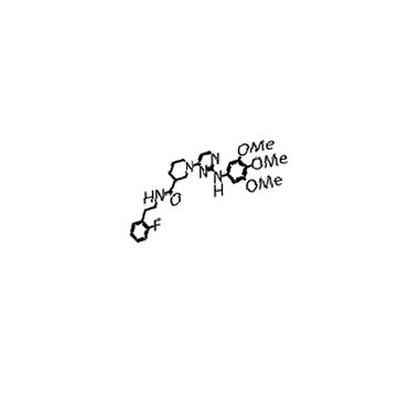 COc1cc(Nc2nccc(N3CCCC(C(=O)NCCc4ccccc4F)C3)n2)cc(OC)c1OC